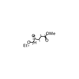 CCOC[PH](=O)CCC(=O)OC